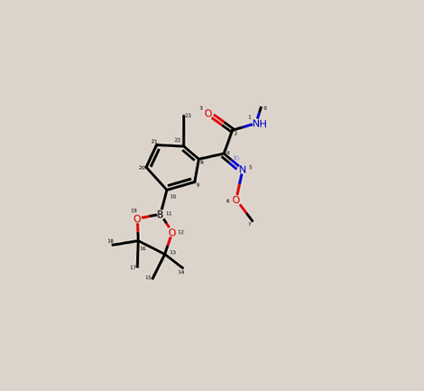 CNC(=O)/C(=N/OC)c1cc(B2OC(C)(C)C(C)(C)O2)ccc1C